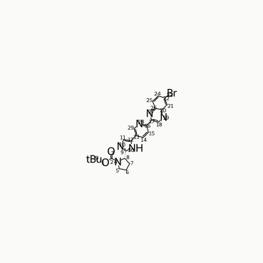 CC(C)(C)OC(=O)N1CCC[C@H]1c1ncc(-c2ccc(-c3cnc4cc(Br)ccc4n3)nc2)[nH]1